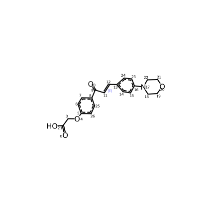 O=C(O)COc1ccc(C(=O)/C=C/c2ccc(N3CCOCC3)cc2)cc1